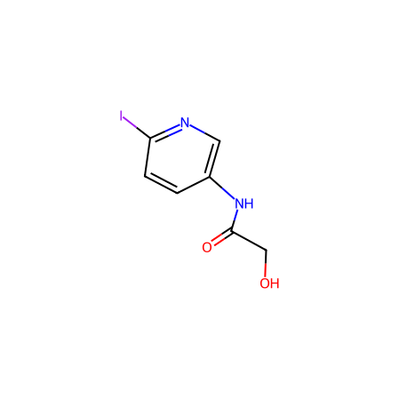 O=C(CO)Nc1ccc(I)nc1